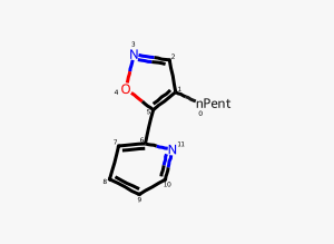 CCCCCc1cnoc1-c1ccccn1